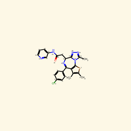 Cc1sc2c(c1C)C(c1ccc(Cl)cc1)=NC(CC(=O)Nc1cccnc1)c1nnc(C)n1-2